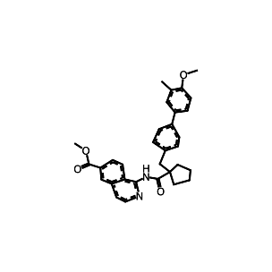 COC(=O)c1ccc2c(NC(=O)C3(Cc4ccc(-c5ccc(OC)c(C)c5)cc4)CCCC3)nccc2c1